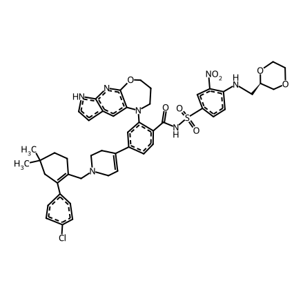 CC1(C)CCC(CN2CC=C(c3ccc(C(=O)NS(=O)(=O)c4ccc(NC[C@@H]5COCCO5)c([N+](=O)[O-])c4)c(N4CCCOc5nc6[nH]ccc6cc54)c3)CC2)=C(c2ccc(Cl)cc2)C1